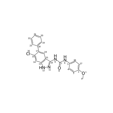 COc1ccc(NC(=O)Nc2n[nH]c3cc(Cl)c(-c4ccccc4)cc23)cc1